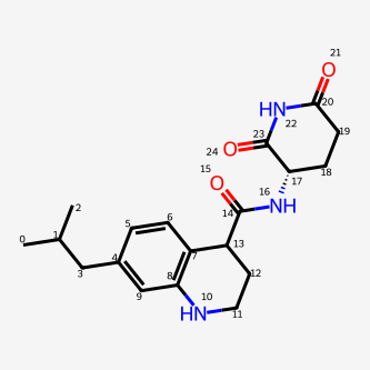 CC(C)Cc1ccc2c(c1)NCCC2C(=O)N[C@H]1CCC(=O)NC1=O